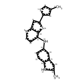 Cc1csc(-c2cc3nccc(Nc4ccc5[nH]c(C)cc5c4)c3s2)c1